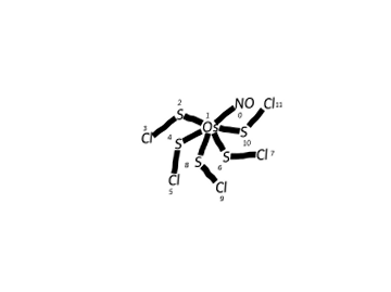 O=[N][Os]([S]Cl)([S]Cl)([S]Cl)([S]Cl)[S]Cl